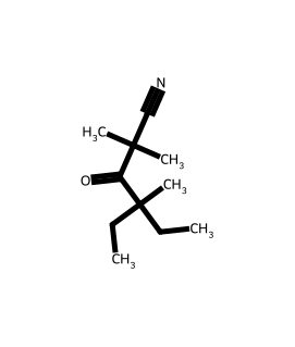 CCC(C)(CC)C(=O)C(C)(C)C#N